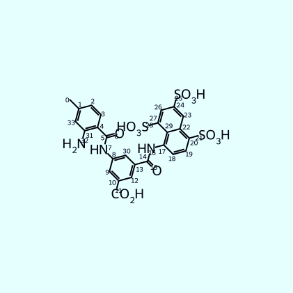 Cc1ccc(C(=O)Nc2cc(C(=O)O)cc(C(=O)Nc3ccc(S(=O)(=O)O)c4cc(S(=O)(=O)O)cc(S(=O)(=O)O)c34)c2)c(N)c1